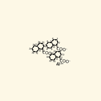 O=C([O-])c1cccc2ccccc12.O=C([O-])c1cccc2ccccc12.O=C([O-])c1cccc2ccccc12.[Al+3]